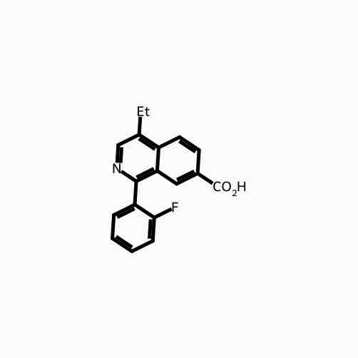 CCc1cnc(-c2ccccc2F)c2cc(C(=O)O)ccc12